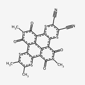 Cc1sc2c(sc1C)c1c(=O)n(C)c(=O)c3c4sc(C#N)c(C#N)sc4c4c(=O)n(C)c(=O)c2c4c13